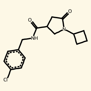 O=C(NCc1ccc(Cl)cc1)C1CC(=O)N(C2CCC2)C1